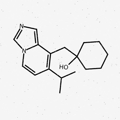 CC(C)c1ccn2cncc2c1CC1(O)CCCCC1